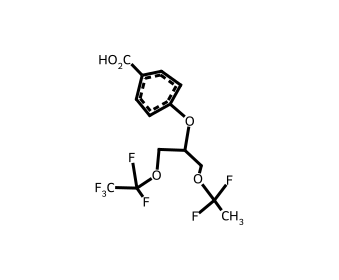 CC(F)(F)OCC(COC(F)(F)C(F)(F)F)Oc1ccc(C(=O)O)cc1